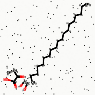 CC(=O)C(=O)O.CC(=O)[O-].CC(=O)[O-].CCCCCCCCCCCCCCCCCCC.[Ca+2]